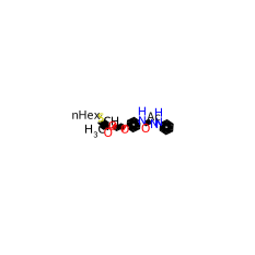 CCCCCCSCC(C)(C)C(=O)OCCOc1ccc(NC(=O)/C(=N/Nc2ccccc2)C(C)=O)cc1